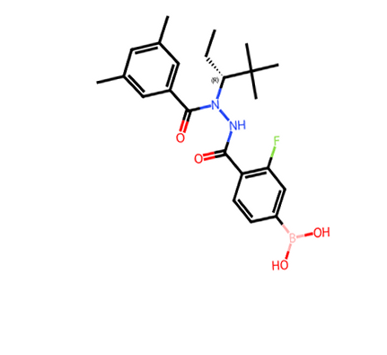 CC[C@@H](N(NC(=O)c1ccc(B(O)O)cc1F)C(=O)c1cc(C)cc(C)c1)C(C)(C)C